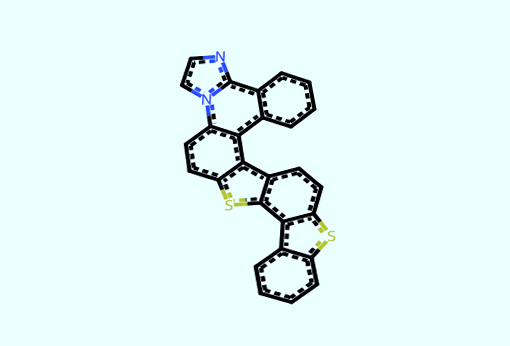 c1ccc2c(c1)sc1ccc3c(sc4ccc5c(c6ccccc6c6nccn56)c43)c12